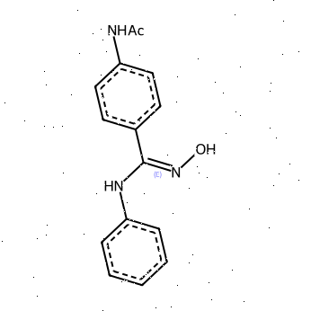 CC(=O)Nc1ccc(/C(=N\O)Nc2ccccc2)cc1